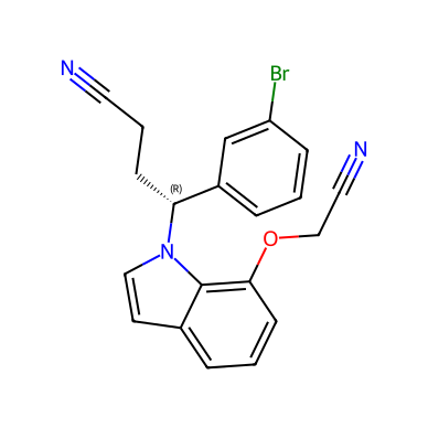 N#CCC[C@H](c1cccc(Br)c1)n1ccc2cccc(OCC#N)c21